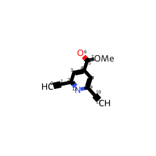 C#Cc1cc(C(=O)OC)cc(C#C)n1